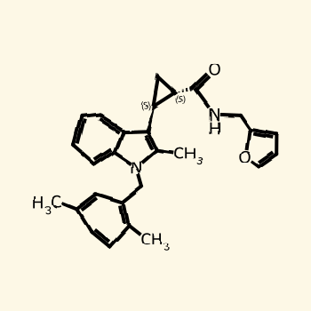 Cc1ccc(C)c(Cn2c(C)c([C@H]3C[C@@H]3C(=O)NCc3ccco3)c3ccccc32)c1